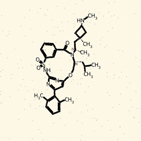 CN[C@H]1C[C@](C)(C[C@H](C)N2C(=O)c3cccc(c3)S(=O)(=O)Nc3nc(cc(-c4c(C)cccc4C)n3)OC[C@H]2CC(C)C)C1